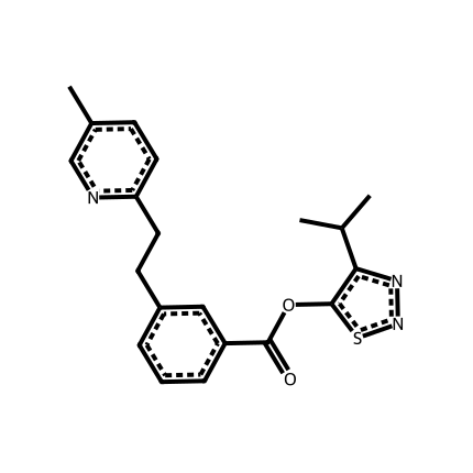 Cc1ccc(CCc2cccc(C(=O)Oc3snnc3C(C)C)c2)nc1